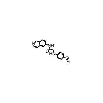 CCOc1ccc(NCC(=O)Nc2ccc3cnccc3c2)cc1